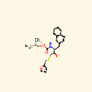 CC(C)COC(=O)NC(Cc1ccc2ccccc2c1)C(=O)CSCc1ccco1